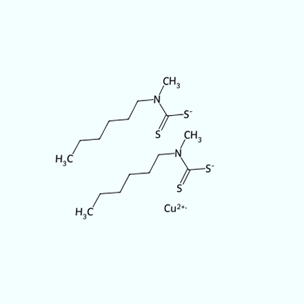 CCCCCCN(C)C(=S)[S-].CCCCCCN(C)C(=S)[S-].[Cu+2]